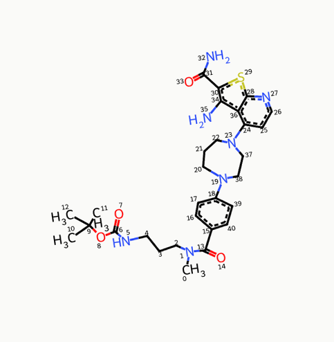 CN(CCCNC(=O)OC(C)(C)C)C(=O)c1ccc(N2CCCN(c3ccnc4sc(C(N)=O)c(N)c34)CC2)cc1